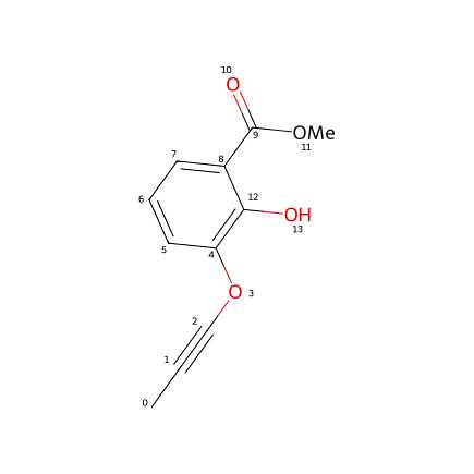 CC#COc1cccc(C(=O)OC)c1O